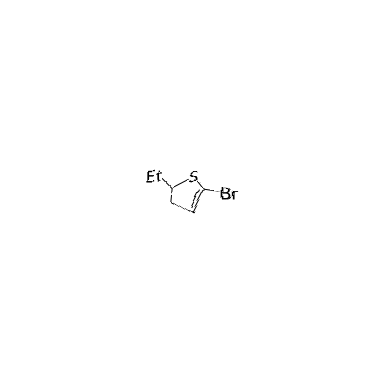 CCC1CC=C(Br)S1